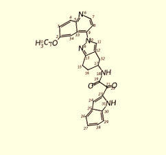 COc1ccc2nccc(-n3cc4c(n3)CCC(NC(=O)C(=O)c3cc5ccccc5[nH]3)C4)c2c1